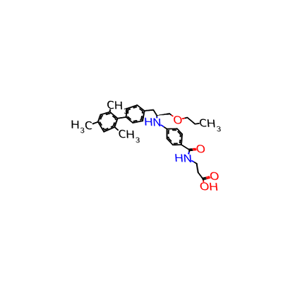 CCCOC[C@H](Cc1ccc(-c2c(C)cc(C)cc2C)cc1)Nc1ccc(C(=O)NCCC(=O)O)cc1